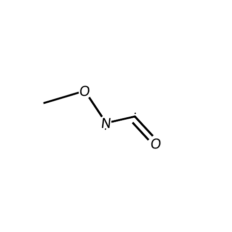 CO[N][C]=O